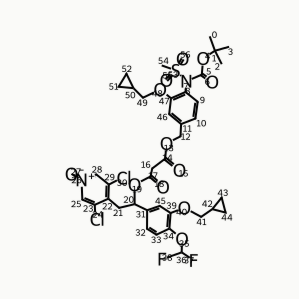 CC(C)(C)OC(=O)N(c1ccc(COC(=O)CC(=O)OC(Cc2c(Cl)c[n+]([O-])cc2Cl)c2ccc(OC(F)F)c(OCC3CC3)c2)cc1OCC1CC1)S(C)(=O)=O